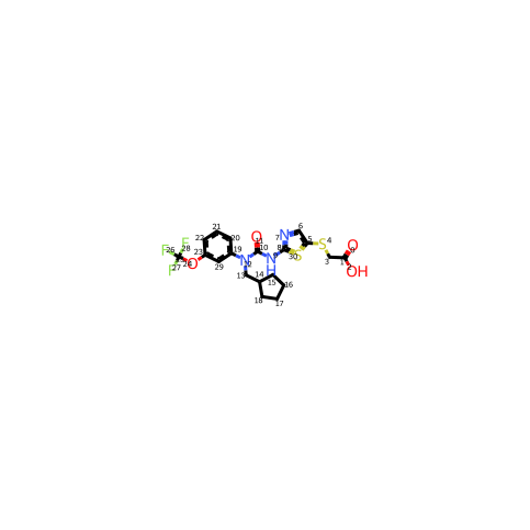 O=C(O)CSc1cnc(NC(=O)N(CC2CCCC2)c2cccc(OC(F)(F)F)c2)s1